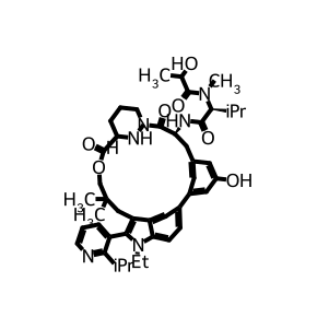 CCn1c(-c2cccnc2C(C)C)c2c3cc(ccc31)-c1cc(O)cc(c1)C[C@H](NC(=O)[C@H](C(C)C)N(C)C(=O)C(C)O)C(=O)N1CCC[C@H](N1)C(=O)OCC(C)(C)C2